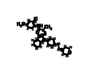 Cc1ccc(NC(=O)[C@H](C)Sc2nc3ccccc3n2-c2ccc(CCN3CCOCC3)cc2)c(Cl)c1